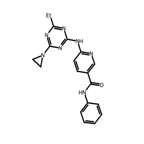 CCc1nc(Nc2ccc(C(=O)Nc3ccccc3)cn2)nc(N2CC2)n1